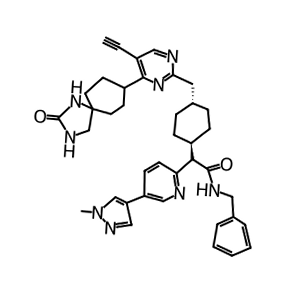 C#Cc1cnc(C[C@H]2CC[C@H](C(C(=O)NCc3ccccc3)c3ccc(-c4cnn(C)c4)cn3)CC2)nc1C1CCC2(CC1)CNC(=O)N2